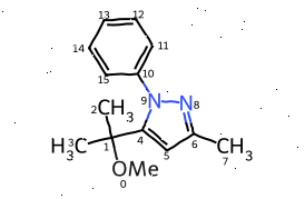 COC(C)(C)c1cc(C)nn1-c1ccccc1